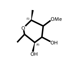 COC1C(O)[C@@H](O)C(C)O[C@H]1C